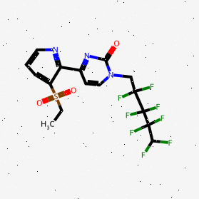 CCS(=O)(=O)c1cccnc1-c1ccn(CC(F)(F)C(F)(F)C(F)(F)C(F)F)c(=O)n1